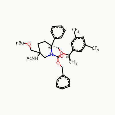 CCCCOCC1(NC(C)=O)CC[C@@](CO[C@H](C)c2cc(C(F)(F)F)cc(C(F)(F)F)c2)(c2ccccc2)N(C(=O)OCc2ccccc2)C1